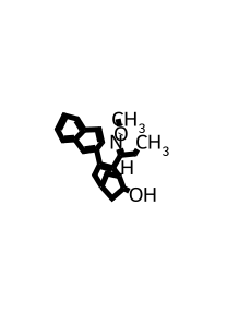 CCC(=NOC)C1=C(c2ccc3ccccc3c2)CC2CC(O)[C@H]1C2